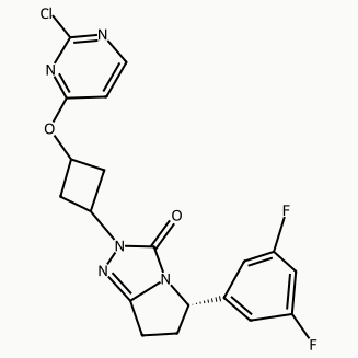 O=c1n(C2CC(Oc3ccnc(Cl)n3)C2)nc2n1[C@H](c1cc(F)cc(F)c1)CC2